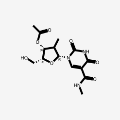 CNC(=O)c1cn([C@@H]2O[C@H](CO)[C@H](OC(C)=O)C2C)c(=O)[nH]c1=O